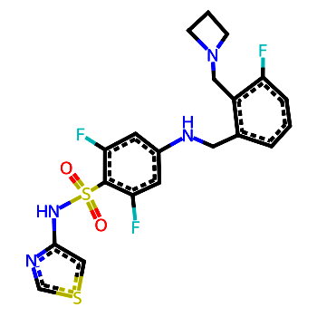 O=S(=O)(Nc1cscn1)c1c(F)cc(NCc2cccc(F)c2CN2CCC2)cc1F